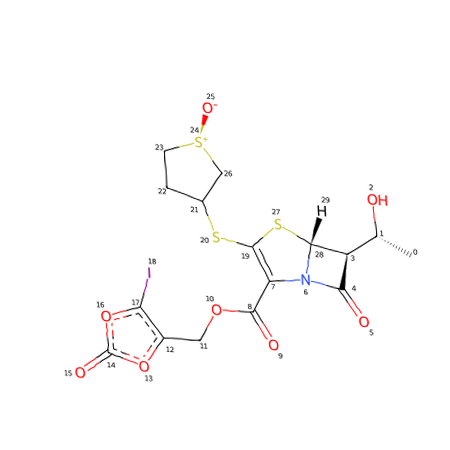 C[C@@H](O)[C@H]1C(=O)N2C(C(=O)OCc3oc(=O)oc3I)=C(SC3CC[S@@+]([O-])C3)S[C@H]12